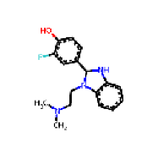 CN(C)CCN1c2ccccc2NC1c1ccc(O)c(F)c1